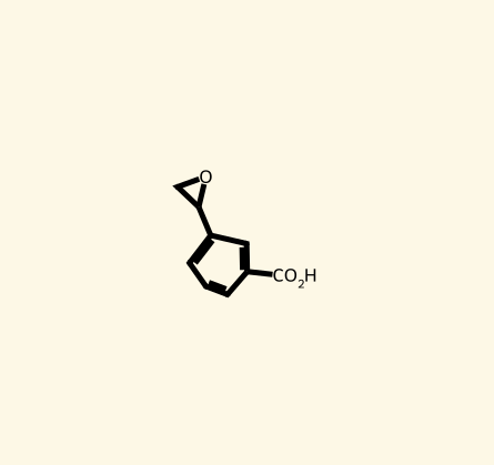 O=C(O)c1cccc(C2CO2)c1